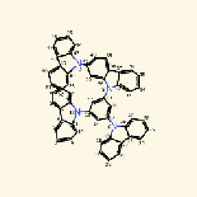 c1ccc2c(c1)c1ccccc1n2-c1cc(-n2c3ccccc3c3ccccc32)cc(-n2c3ccccc3c3ccc(-n4c5ccccc5c5ccccc54)cc32)c1